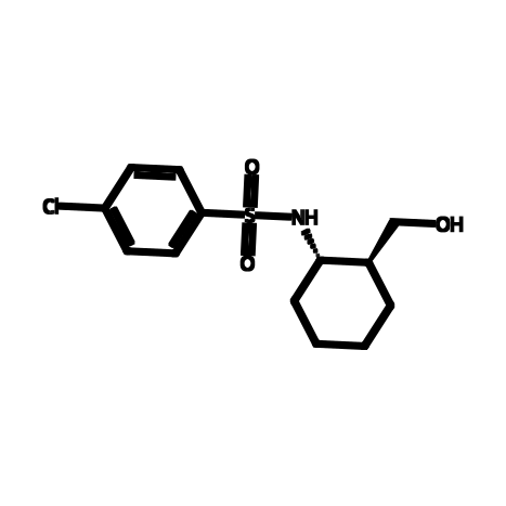 O=S(=O)(N[C@H]1CCCC[C@@H]1CO)c1ccc(Cl)cc1